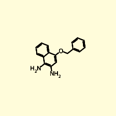 Nc1cc(OCc2ccccc2)c2ccccc2c1N